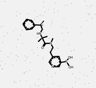 C[C@@H](CNC(C)(C)C(=O)N(C)CCc1cncc(B(O)O)c1)c1ccccc1